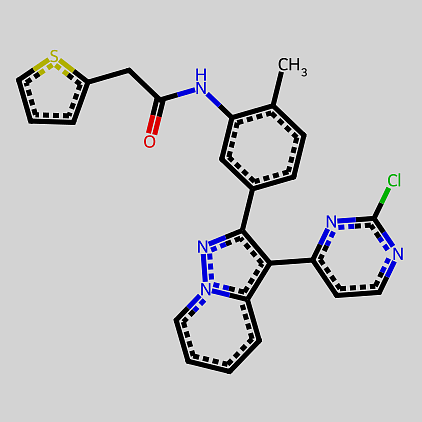 Cc1ccc(-c2nn3ccccc3c2-c2ccnc(Cl)n2)cc1NC(=O)Cc1cccs1